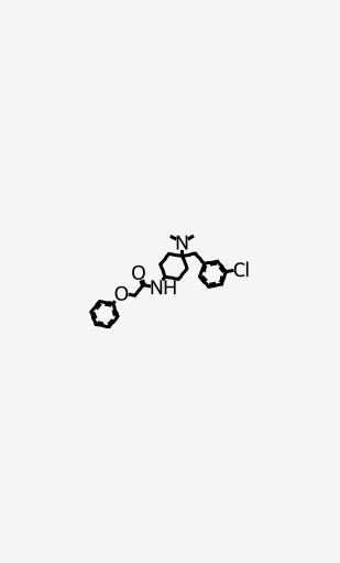 CN(C)C1(Cc2cccc(Cl)c2)CCC(NC(=O)COc2ccccc2)CC1